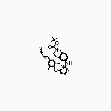 Cc1cc(/C=C/C#N)cc(C)c1Oc1ccnc(Nc2ccc3c(c2)CCN(C(=O)OC(C)(C)C)C3)n1